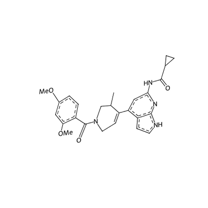 COc1ccc(C(=O)N2CC=C(c3cc(NC(=O)C4CC4)nc4[nH]ccc34)C(C)C2)c(OC)c1